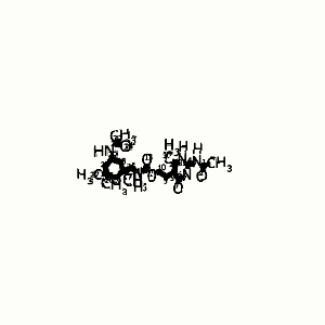 CC(=O)Nc1nc(=O)c(CCOC(=O)NCC2(C)CC(NC(C)=O)CC(C)(C)C2)c(C)[nH]1